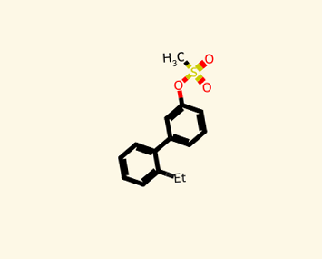 CCc1ccccc1-c1cccc(OS(C)(=O)=O)c1